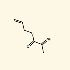 C=CCOC(=O)C(C)=N